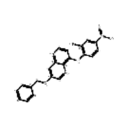 O=[N+]([O-])c1ccc(Oc2ccnc3cc(OCc4ccccc4)cnc23)c(F)c1